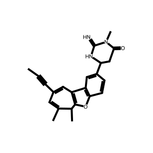 CC#CC1=Cc2c(oc3ccc(C4CC(=O)N(C)C(=N)N4)cc23)C(C)C(C)=C1